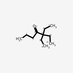 CCCC(=O)C(CC)(CC)CC